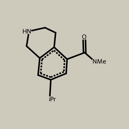 CNC(=O)c1cc(C(C)C)cc2c1CCNC2